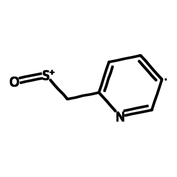 O=[S+]Cc1cc[c]cn1